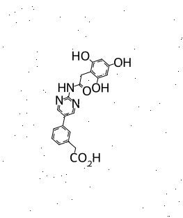 O=C(O)Cc1cccc(-c2cnc(NC(=O)Cc3c(O)cc(O)cc3O)nc2)c1